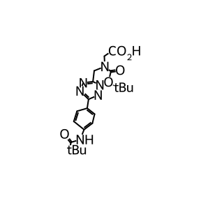 CC(C)(C)OC(=O)N(CC(=O)O)Cc1nnc(-c2ccc(NC(=O)C(C)(C)C)cc2)nn1